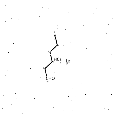 O=CCCC[CH2][V].[CsH].[La]